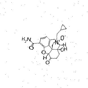 NC(=O)c1ccc2c3c1O[C@H]1C(=O)CC[C@@]4(O)[C@@H](C2)[N+]([O-])(CC2CC2)CC[C@]314